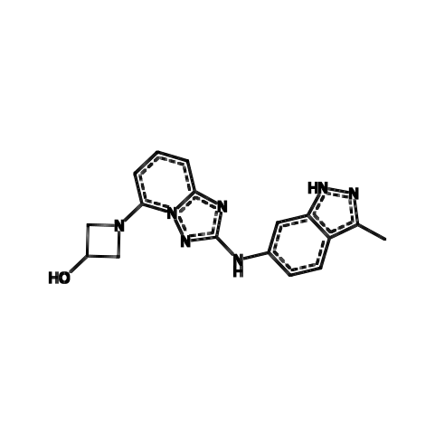 Cc1n[nH]c2cc(Nc3nc4cccc(N5CC(O)C5)n4n3)ccc12